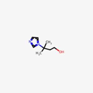 CC(C)(CCO)n1ccnc1